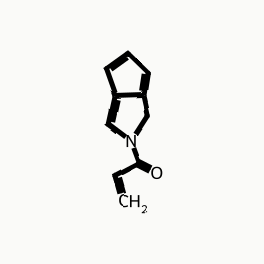 C=CC(=O)N1C=C2C=CC=C2C1